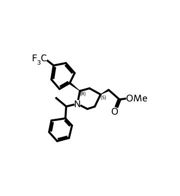 COC(=O)C[C@H]1CCN(C(C)c2ccccc2)[C@@H](c2ccc(C(F)(F)F)cc2)C1